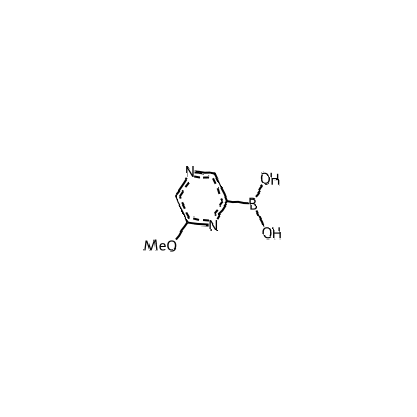 COc1cncc(B(O)O)n1